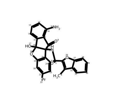 Cc1c(C(=O)NC23C(=O)c4c(N)cccc4C2(O)Oc2cc(C(C)C)ccc23)oc2ccccc12